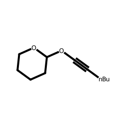 CCCCC#COC1CCCCO1